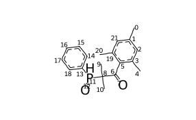 Cc1cc(C)c(C(=O)C(C)(C)[PH](=O)c2ccccc2)c(C)c1